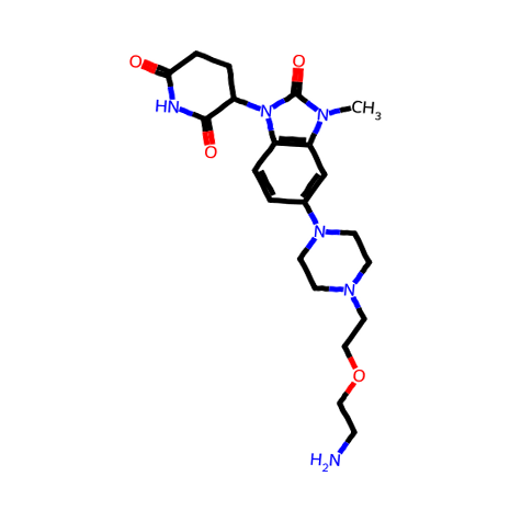 Cn1c(=O)n(C2CCC(=O)NC2=O)c2ccc(N3CCN(CCOCCN)CC3)cc21